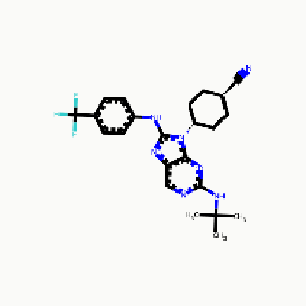 CC(C)(C)Nc1ncc2nc(Nc3ccc(C(F)(F)F)cc3)n([C@H]3CC[C@H](C#N)CC3)c2n1